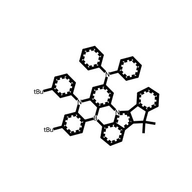 CC(C)(C)c1cccc(N2c3cc(C(C)(C)C)ccc3B3c4c2cc(N(c2ccccc2)c2ccccc2)cc4-n2c4c(c5cccc3c52)C(C)(C)c2ccccc2-4)c1